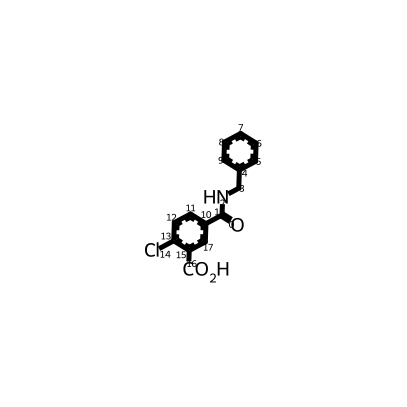 O=C(NCc1ccccc1)c1ccc(Cl)c(C(=O)O)c1